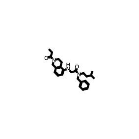 CCC(=O)N1CCc2c(cccc2NCC(=O)N(CCC(C)C)Cc2ccccc2)C1